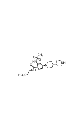 CS(=O)(=O)Nc1cc(N2CCC(C3CCNCC3)CC2)ccc1C(=O)NCCC(=O)O